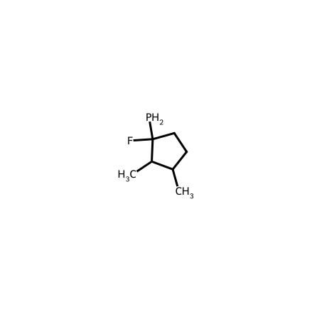 CC1CCC(F)(P)C1C